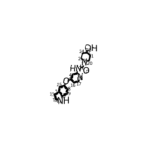 O=C(Nc1cc(Oc2ccc3[nH]ccc3c2)ccn1)N1CCC(O)CC1